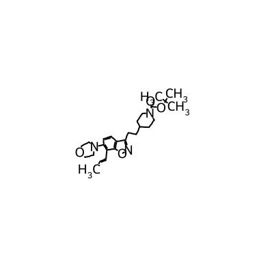 CC=Cc1c(N2CCOCC2)ccc2c(CCC3CCN(C(=O)OC(C)(C)C)CC3)noc12